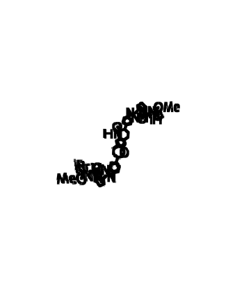 COC(=O)NC(C(=O)N1CCCC1c1nc2ccc(C3CCc4cc5c(cc4OC3)CCC(c3ccc4nc(C6CCCN6C(=O)C(NC(=O)OC)C(C)C)[nH]c4c3)C(=O)N5)cc2[nH]1)C(C)C